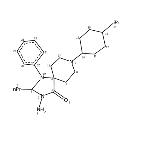 CCCC1N(N)C(=O)C2(CCN(C3CCC(C(C)C)CC3)CC2)N1c1ccccc1